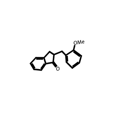 COc1ccccc1CC1Cc2ccccc2C1=O